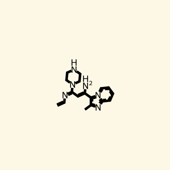 C=C/N=C(\C=C(/N)c1c(C)nc2ccccn12)N1CCNCC1